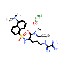 CCCCN(CC(=O)OCC)C(=O)C(CCCNC(=N)C(=N)N)NS(=O)(=O)c1cccc2c(N(C)C)cccc12.Cl.Cl.Cl.O